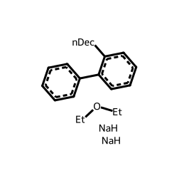 CCCCCCCCCCc1ccccc1-c1ccccc1.CCOCC.[NaH].[NaH]